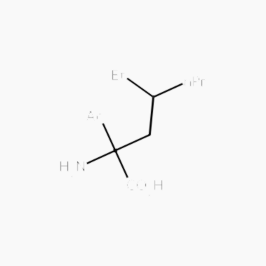 CCCC(CC)CC(N)(C(C)=O)C(=O)O